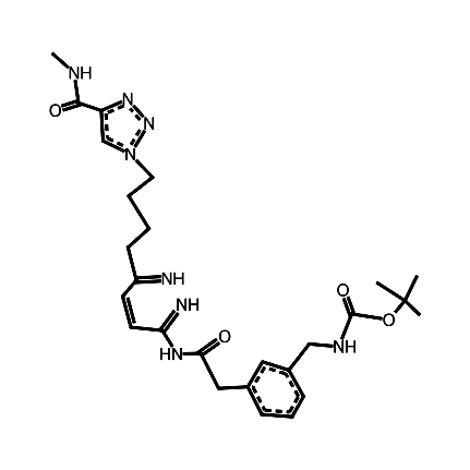 CNC(=O)c1cn(CCCCC(=N)/C=C\C(=N)NC(=O)Cc2cccc(CNC(=O)OC(C)(C)C)c2)nn1